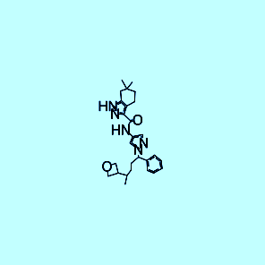 CC(CCC(c1ccccc1)n1cc(NC(=O)c2n[nH]c3c2CCC(C)(C)C3)cn1)C1COC1